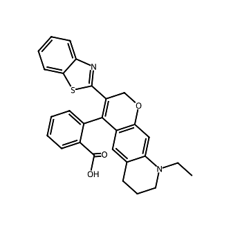 CCN1CCCc2cc3c(cc21)OCC(c1nc2ccccc2s1)=C3c1ccccc1C(=O)O